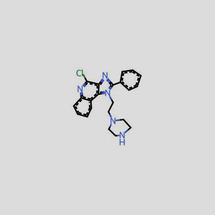 Clc1nc2ccccc2c2c1nc(-c1ccccc1)n2CCN1CCNCC1